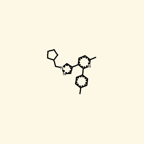 Cc1ccc(-c2nc(C)ccc2-c2cnn(CC3CCCC3)c2)cc1